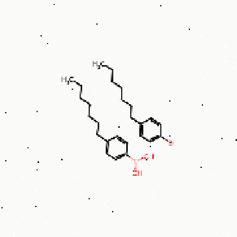 CCCCCCCc1ccc(B(O)O)cc1.CCCCCCCc1ccc(Br)cc1